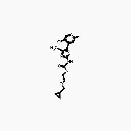 Cc1nc(NC(=O)NCCOCC2CC2)sc1-c1cc(F)ncc1Cl